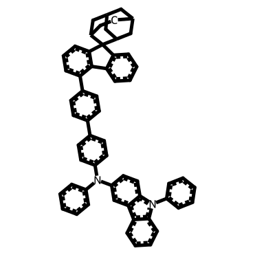 c1ccc(N(c2ccc(-c3ccc(-c4cccc5c4-c4ccccc4C54C5CCC6CC(C5)CC4C6)cc3)cc2)c2ccc3c(c2)c2ccccc2n3-c2ccccc2)cc1